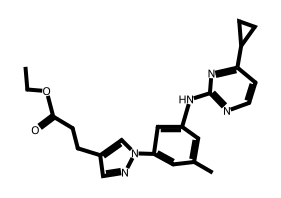 CCOC(=O)CCc1cnn(-c2cc(C)cc(Nc3nccc(C4CC4)n3)c2)c1